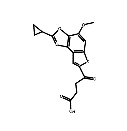 COc1cc2sc(C(=O)CCC(=O)O)cc2c2nc(C3CC3)oc12